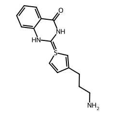 NCCCC1=CS(=c2[nH]c(=O)c3ccccc3[nH]2)C=C1